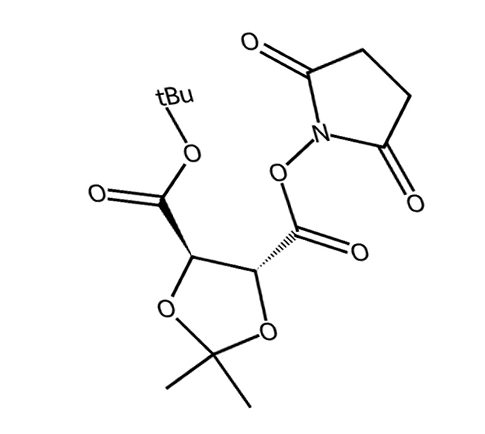 CC(C)(C)OC(=O)[C@@H]1OC(C)(C)O[C@H]1C(=O)ON1C(=O)CCC1=O